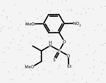 CCOP(=S)(NC(C)COC)Oc1cc(OC)ccc1[N+](=O)[O-]